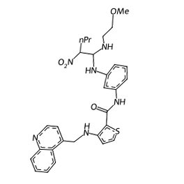 CCCC(C(NCCOC)Nc1cccc(NC(=O)c2sccc2NCc2ccnc3ccccc23)c1)[N+](=O)[O-]